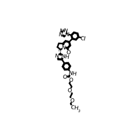 CCOCCOCCOC(=O)Nc1ccc(-c2cnc([C@@H]3CCc4cc(-c5cc(Cl)ccc5-n5cnnn5)cc(=O)n43)[nH]2)cc1